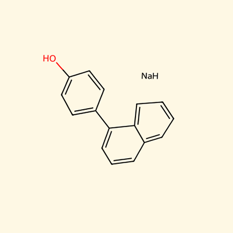 Oc1ccc(-c2cccc3ccccc23)cc1.[NaH]